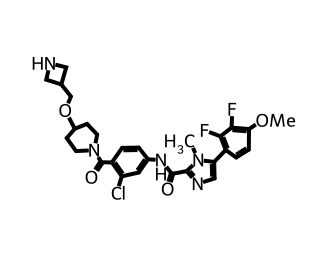 COc1ccc(-c2cnc(C(=O)Nc3ccc(C(=O)N4CCC(OCC5CNC5)CC4)c(Cl)c3)n2C)c(F)c1F